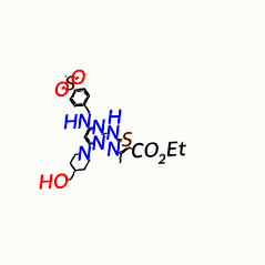 CCOC(=O)c1sc(Nc2nc(NCc3ccc(S(C)(=O)=O)cc3)cc(N3CCC(CO)CC3)n2)nc1C